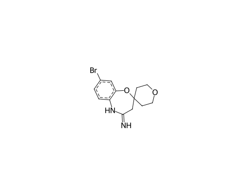 N=C1CC2(CCOCC2)Oc2cc(Br)ccc2N1